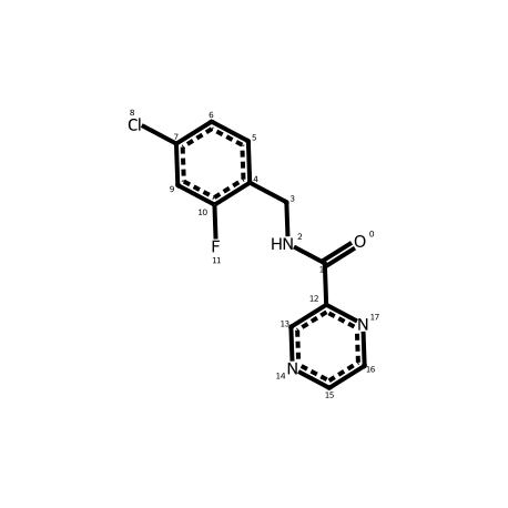 O=C(NCc1ccc(Cl)cc1F)c1cnccn1